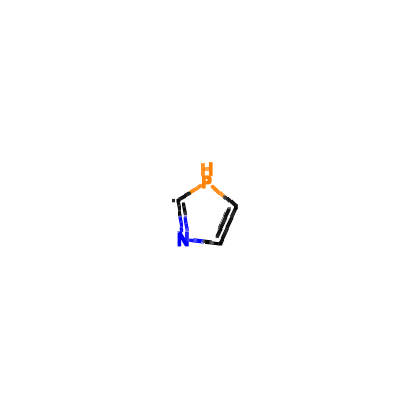 [c]1ncc[pH]1